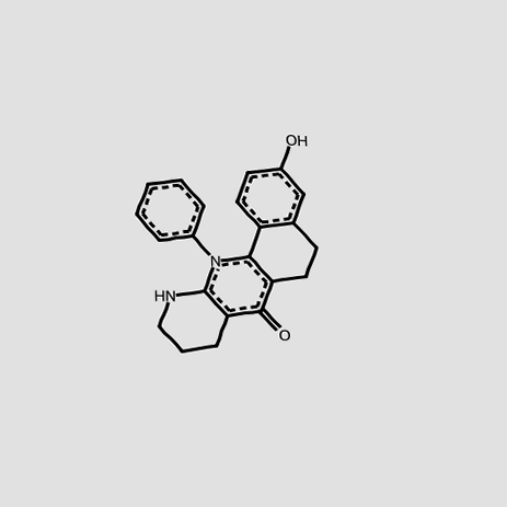 O=c1c2c(n(-c3ccccc3)c3c1CCc1cc(O)ccc1-3)NCCC2